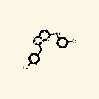 CCc1cccc(Nc2ccc3nnc(Cc4ccc(O)cc4)n3n2)c1